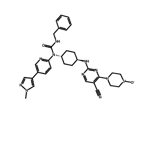 Cn1cc(-c2ccc(N(C(=O)NCc3ccccc3)[C@H]3CC[C@H](Nc4ncc(C#N)c(N5CC[S+]([O-])CC5)n4)CC3)nc2)cn1